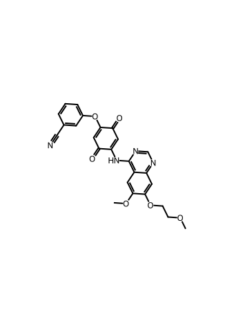 COCCOc1cc2ncnc(NC3=CC(=O)C(Oc4cccc(C#N)c4)=CC3=O)c2cc1OC